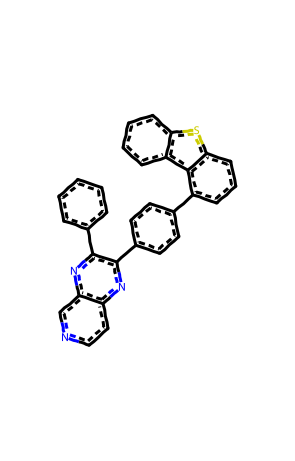 c1ccc(-c2nc3cnccc3nc2-c2ccc(-c3cccc4sc5ccccc5c34)cc2)cc1